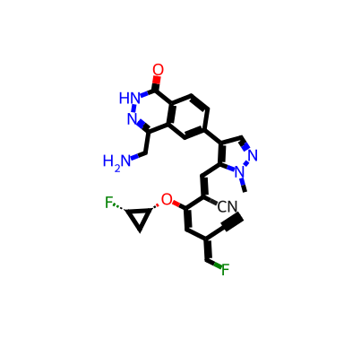 C#CC(=C\F)/C=C(O[C@@H]1C[C@@H]1F)\C(C#N)=C\c1c(-c2ccc3c(=O)[nH]nc(CN)c3c2)cnn1C